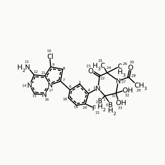 BC1(B)N(c2cc(-c3cc(Cl)c4c(N)ncnn34)ccc2F)C(=O)C(C)(C)N(C(C)=O)C1(O)O